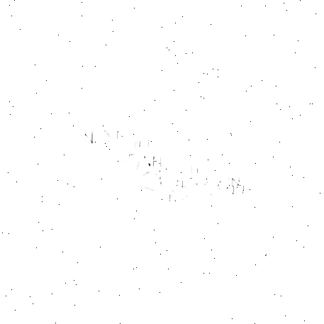 O=C(NC1CCCN(C2=CC=NCC2)C1)c1cc2ccc(-c3nccc(Nc4ccc5[nH]ncc5c4)n3)cc2[nH]1